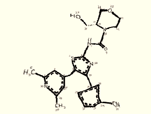 Cc1cc(-c2sc(NC(=O)N3CCOC[C@H]3CO)nc2-c2cccc(C#N)c2)cc(C)n1